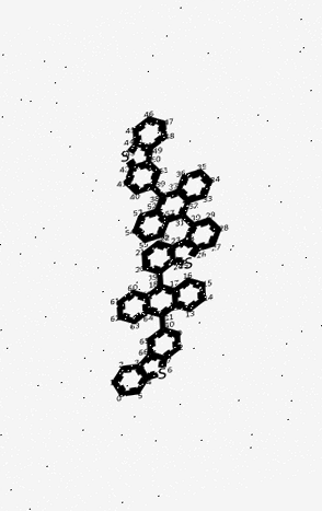 c1ccc2c(c1)sc1ccc(-c3c4ccccc4c(-c4cccc5c4sc4cccc(-c6c7ccccc7c(-c7ccc8sc9ccccc9c8c7)c7ccccc67)c45)c4ccccc34)cc12